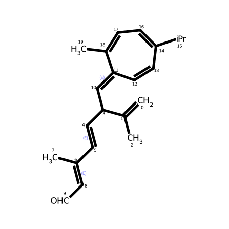 C=C(C)C(/C=C/C(C)=C/C=O)/C=C1\C=CC(C(C)C)=CC=C1C